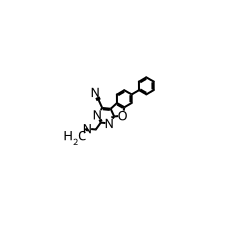 C=NCc1nc(C#N)c2c(n1)oc1cc(-c3ccccc3)ccc12